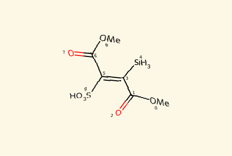 COC(=O)/C([SiH3])=C(/C(=O)OC)S(=O)(=O)O